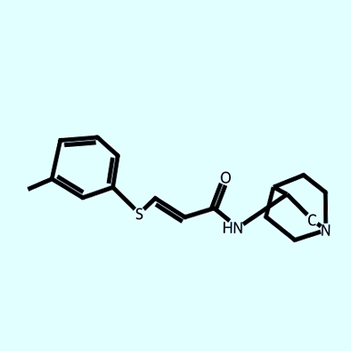 Cc1cccc(S/C=C/C(=O)NC2CN3CCC2CC3)c1